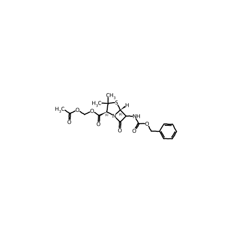 CC(=O)OCOC(=O)[C@@H]1N2C(=O)C(NC(=O)OCc3ccccc3)[C@H]2SC1(C)C